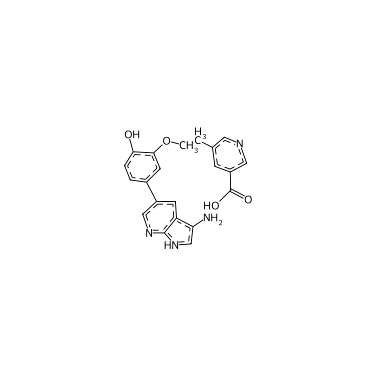 COc1cc(-c2cnc3[nH]cc(N)c3c2)ccc1O.Cc1cncc(C(=O)O)c1